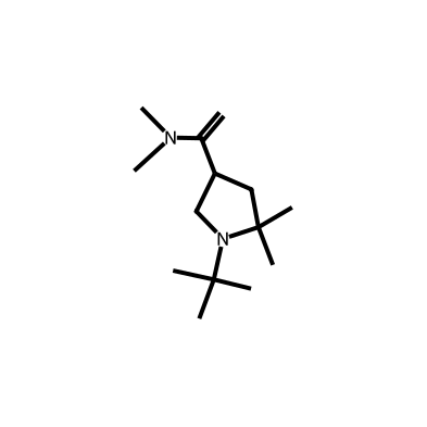 C=C(C1CN(C(C)(C)C)C(C)(C)C1)N(C)C